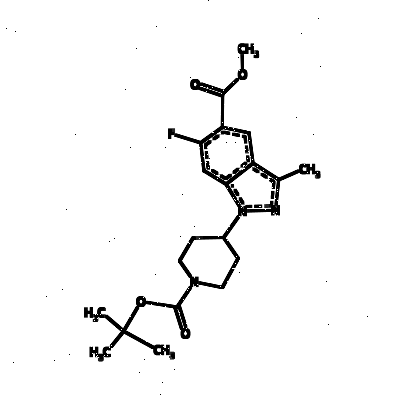 COC(=O)c1cc2c(C)nn(C3CCN(C(=O)OC(C)(C)C)CC3)c2cc1F